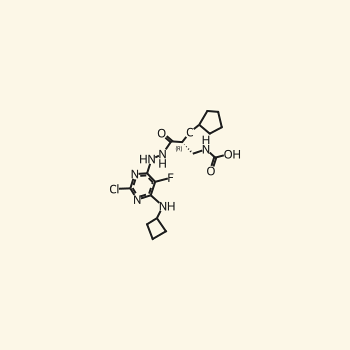 O=C(O)NC[C@@H](CC1CCCC1)C(=O)NNc1nc(Cl)nc(NC2CCC2)c1F